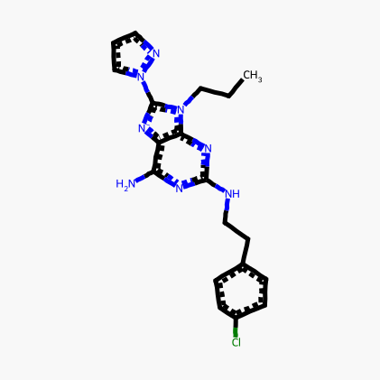 CCCn1c(-n2cccn2)nc2c(N)nc(NCCc3ccc(Cl)cc3)nc21